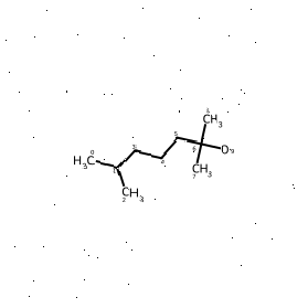 CC(C)CCCC(C)(C)[O]